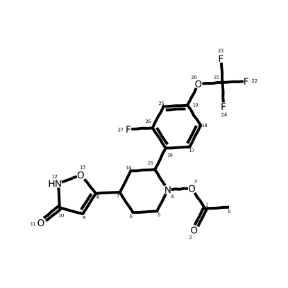 CC(=O)ON1CCC(c2cc(=O)[nH]o2)CC1c1ccc(OC(F)(F)F)cc1F